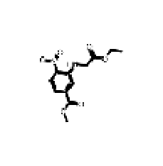 CCOC(=O)CNc1cc(C(=O)OC)ccc1[N+](=O)[O-]